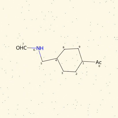 CC(=O)C1CCC(CNC=O)CC1